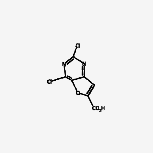 O=C(O)c1cc2nc(Cl)nc(Cl)c2o1